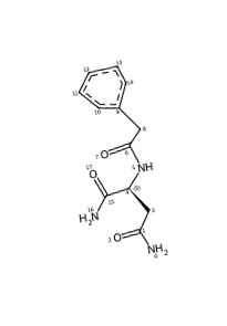 NC(=O)C[C@H](NC(=O)Cc1ccccc1)C(N)=O